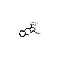 CC(C)(C)c1nc(Cc2ccccc2Cl)c(C(=O)O)s1